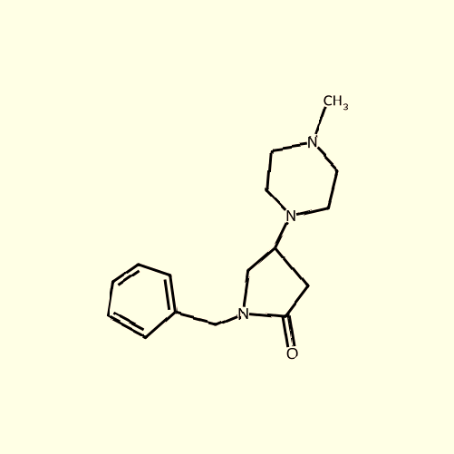 CN1CCN(C2CC(=O)N(Cc3ccccc3)C2)CC1